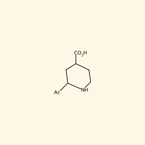 [CH2]C(=O)C1CC(C(=O)O)CCN1